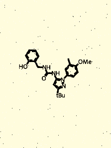 COc1ccc(-n2nc(C(C)(C)C)cc2NC(=O)NCc2ccccc2O)cc1C